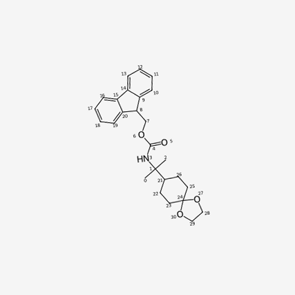 CC(C)(NC(=O)OCC1c2ccccc2-c2ccccc21)C1CCC2(CC1)OCCO2